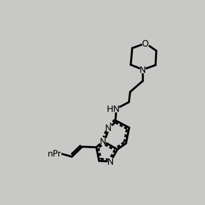 CCC/C=C/c1cnc2ccc(NCCCN3CCOCC3)nn12